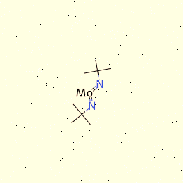 CC(C)(C)[N]=[Mo]=[N]C(C)(C)C